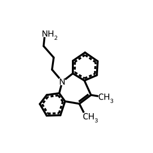 CC1=C(C)c2ccccc2N(CCCN)c2ccccc21